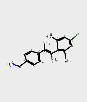 C/C(=C(/N)c1c(C)cc(F)cc1C)c1ccc(CN)cc1